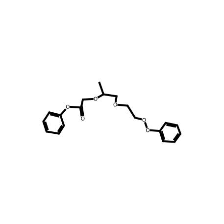 CC(COCCOOc1ccccc1)OCC(=O)Oc1ccccc1